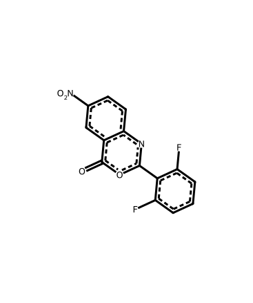 O=c1oc(-c2c(F)cccc2F)nc2ccc([N+](=O)[O-])cc12